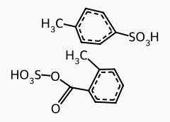 Cc1ccc(S(=O)(=O)O)cc1.Cc1ccccc1C(=O)OS(=O)(=O)O